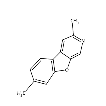 Cc1ccc2c(c1)oc1cnc(C)cc12